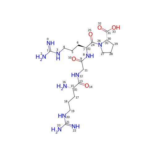 N=C(N)NCCC[C@H](NC(=O)CNC(=O)[C@@H](N)CCCNC(=N)N)C(=O)N1CCC[C@H]1C(=O)O